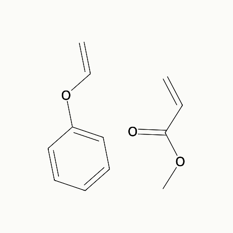 C=CC(=O)OC.C=COc1ccccc1